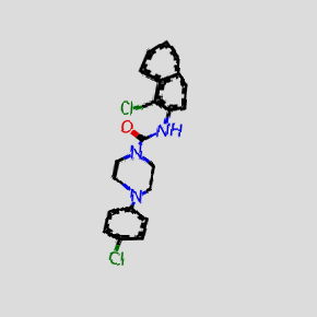 O=C(Nc1ccc2ccccc2c1Cl)N1CCN(c2ccc(Cl)cc2)CC1